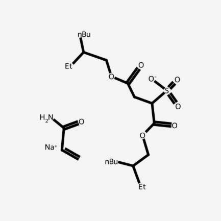 C=CC(N)=O.CCCCC(CC)COC(=O)CC(C(=O)OCC(CC)CCCC)S(=O)(=O)[O-].[Na+]